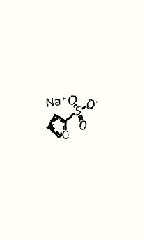 O=S(=O)([O-])c1ccco1.[Na+]